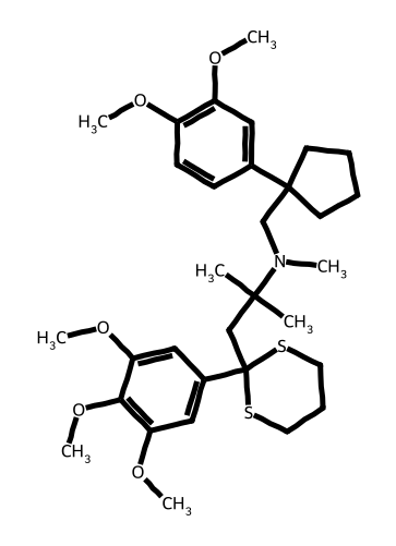 COc1ccc(C2(CN(C)C(C)(C)CC3(c4cc(OC)c(OC)c(OC)c4)SCCCS3)CCCC2)cc1OC